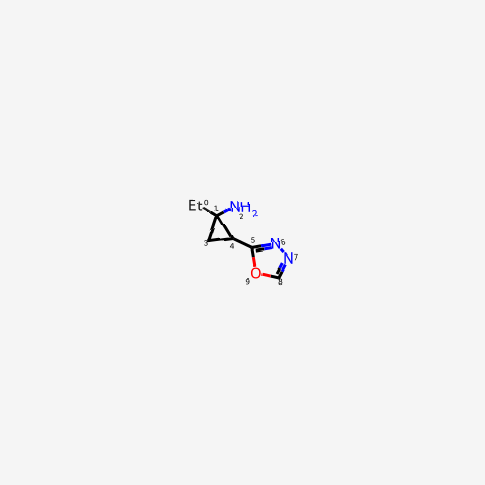 CCC1(N)CC1c1nnco1